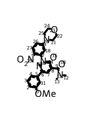 COc1cccc(-c2cc(C(=O)N(C)C)c(=O)n(-c3cc(N4CCOCC4)ccc3[N+](=O)[O-])n2)c1